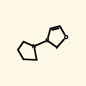 [CH]1OC=CN1N1CCCC1